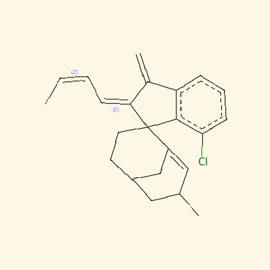 C=C1/C(=C\C=C/C)C2(CCC3CC2=CC(C)C3)c2c(Cl)cccc21